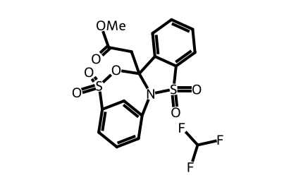 COC(=O)CC12OS(=O)(=O)c3cccc(c3)N1S(=O)(=O)c1ccccc12.FC(F)F